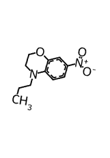 CCCN1CCOc2cc([N+](=O)[O-])ccc21